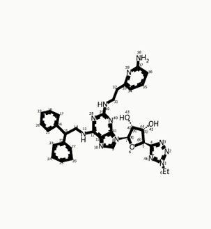 CCn1nnc([C@H]2O[C@@H](n3cnc4c(NCC(c5ccccc5)c5ccccc5)nc(NCCc5cccc(N)n5)nc43)[C@H](O)[C@@H]2O)n1